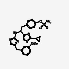 COc1cccc(Cc2csc(NC(Cc3ccc(OS(N)(=O)=O)cc3)c3csc(C4CC4)n3)n2)c1